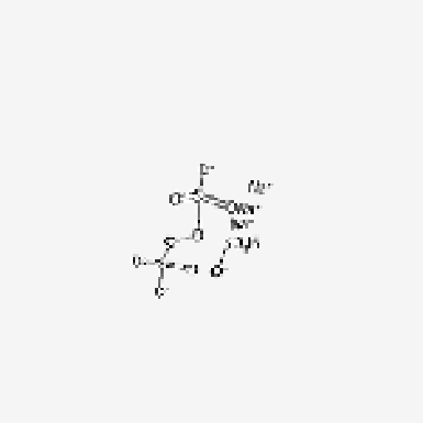 O=S(=O)([O-])O.O=S(=O)([O-])OOS(=O)(=O)[O-].[Na+].[Na+].[Na+]